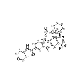 COc1cc(C(=O)NC2CCOCC2)ccc1Nc1ncc(C(F)(F)F)c(N[C@@H]2CCCC[C@H]2NC(C)=O)n1